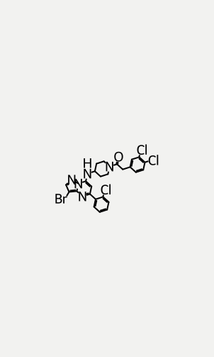 O=C(Cc1ccc(Cl)c(Cl)c1)N1CCC(Nc2cc(-c3ccccc3Cl)nc3c(Br)cnn23)CC1